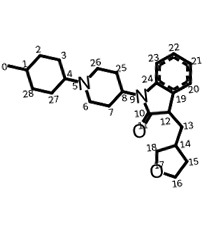 CC1CCC(N2CCC(N3C(=O)C(CC4CCOC4)c4ccccc43)CC2)CC1